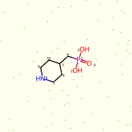 O=P(O)(O)CC1CCNCC1